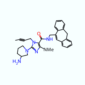 CC#CCn1c(N2CCCC(N)C2)nc(NC)c1C(=O)NCC1=Cc2ccccc2Cc2ccccc21